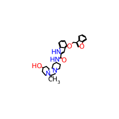 C[C@@H](CN1CCC(NC(=O)c2cc3c(OCc4coc5ccccc45)cccc3[nH]2)CC1)N1CCC(O)CC1